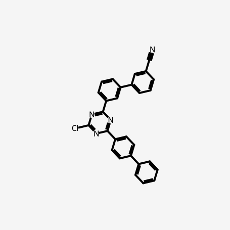 N#Cc1cccc(-c2cccc(-c3nc(Cl)nc(-c4ccc(-c5ccccc5)cc4)n3)c2)c1